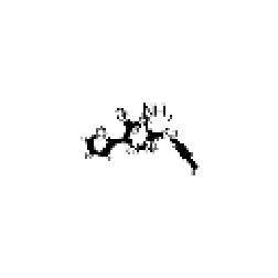 CC#CSc1nnc(-c2ccco2)c(=O)n1N